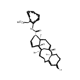 COc1ccccc1NC(=O)[C@H]1CC[C@H]2[C@@H]3CCC4=CC(=O)CC[C@]4(C)[C@H]3CC[C@]12C